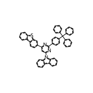 c1ccc(C(c2ccccc2)(c2ccccc2)c2ccc(-c3nc(-c4ccc5c(c4)sc4ccccc45)cc(-n4c5ccccc5c5ccccc54)n3)cc2)cc1